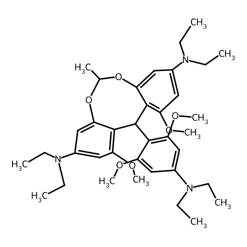 CCN(CC)c1cc(OC)c(C2c3c(OC)cc(N(CC)CC)cc3OC(C)Oc3cc(N(CC)CC)cc(OC)c32)c(OC)c1